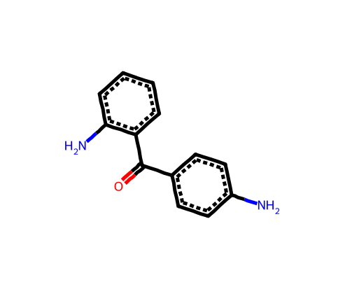 Nc1ccc(C(=O)c2ccccc2N)cc1